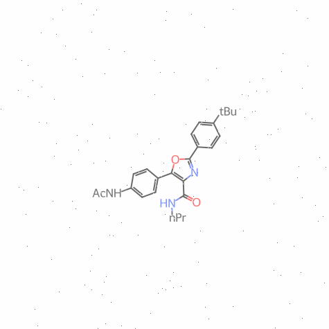 CCCNC(=O)c1nc(-c2ccc(C(C)(C)C)cc2)oc1-c1ccc(NC(C)=O)cc1